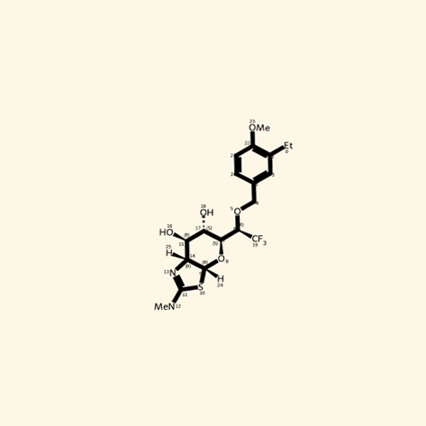 CCc1cc(CO[C@H]([C@H]2O[C@@H]3SC(NC)=N[C@@H]3[C@@H](O)[C@@H]2O)C(F)(F)F)ccc1OC